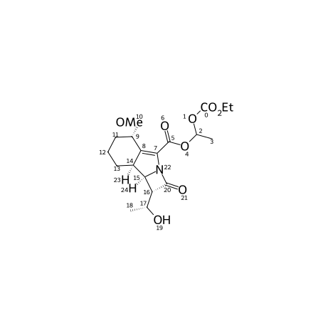 CCOC(=O)OC(C)OC(=O)C1=C2[C@@H](OC)CCC[C@@H]2[C@@H]2[C@@H]([C@@H](C)O)C(=O)N12